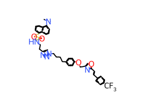 CN(C)c1cccc2c(S(=O)(=O)NCCc3cn(CCCCc4ccc(OCc5coc(C=Cc6ccc(C(F)(F)F)cc6)n5)cc4)nn3)cccc12